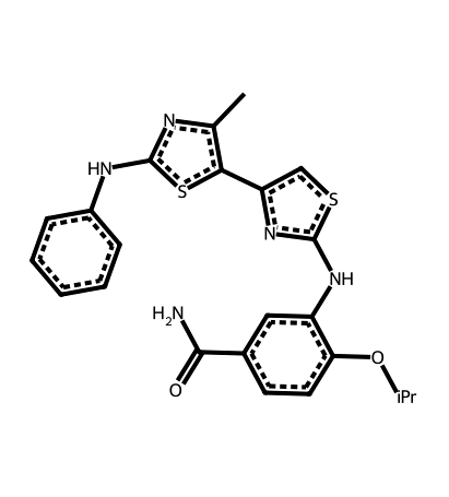 Cc1nc(Nc2ccccc2)sc1-c1csc(Nc2cc(C(N)=O)ccc2OC(C)C)n1